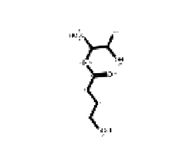 CCCCCCCCCCCC(=O)NC(C(=O)O)C(O)CC